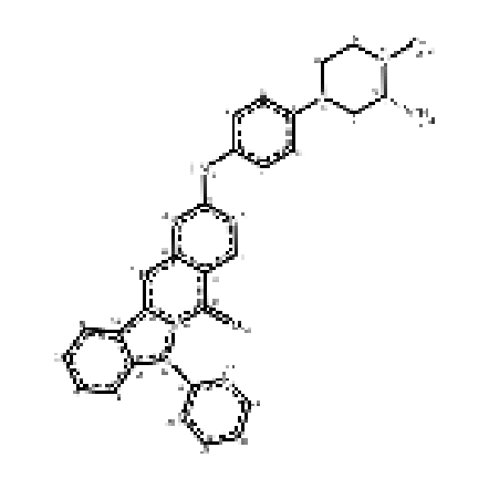 C[C@@H]1CN(c2ccc(Nc3ncc4c(=O)n5c(nc4n3)c3ccccc3n5-c3ncccn3)cc2)CCN1C